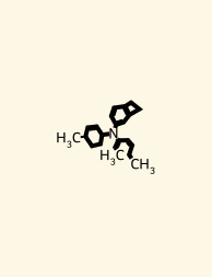 C/C=C(\C=C/CC)N(c1ccc2c(c1)CC2)C1C=C[C@H](C)CC1